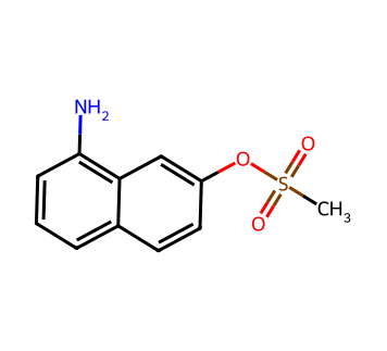 CS(=O)(=O)Oc1ccc2cccc(N)c2c1